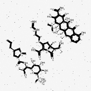 CCC[C@@H]1C[C@@H](C(=O)N[C@@H]([C@H]2O[C@H](SC)[C@H](O)[C@@H](O)[C@H]2O)[C@H](C)Cl)N(C)C1.C[C@@H](O)[C@H]1C(=O)N2C(C(=O)O)=C(SCCNC=N)C[C@H]12.C[C@H]1c2cccc(O)c2C(=O)C2=C(O)[C@]3(O)C(=O)C(C(N)=O)=C(O)[C@@H](N(C)C)[C@@H]3[C@@H](O)[C@@H]21.O.O